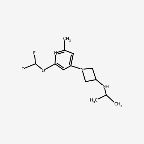 Cc1cc(N2CC(NC(C)C)C2)cc(OC(F)F)n1